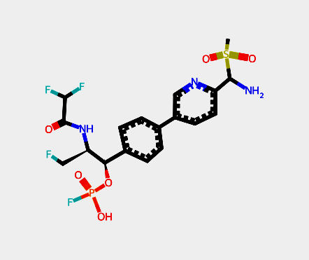 CS(=O)(=O)C(N)c1ccc(-c2ccc([C@@H](OP(=O)(O)F)[C@@H](CF)NC(=O)C(F)F)cc2)cn1